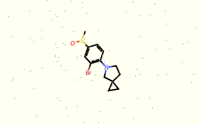 C[S+]([O-])c1ccc(N2CCC3(CC3)C2)c(Br)c1